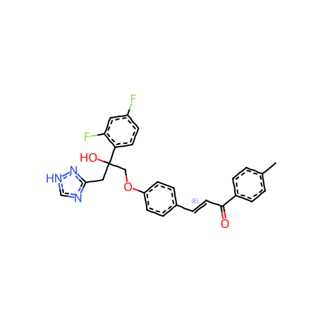 Cc1ccc(C(=O)/C=C/c2ccc(OCC(O)(Cc3nc[nH]n3)c3ccc(F)cc3F)cc2)cc1